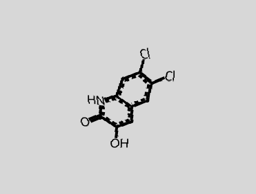 O=c1[nH]c2cc(Cl)c(Cl)cc2cc1O